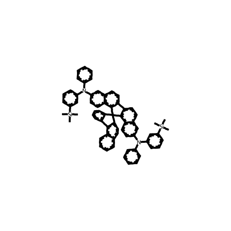 C[Si](C)(C)c1cccc(N(c2ccccc2)c2ccc3c4c(ccc3c2)-c2ccc3cc(N(c5ccccc5)c5cccc([Si](C)(C)C)c5)ccc3c2C42c3ccccc3-c3c2ccc2ccccc32)c1